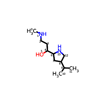 CNCCC(O)C1CC(C(C)C)CN1